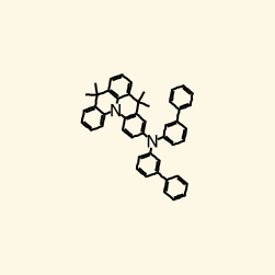 CC1(C)c2ccccc2N2c3ccc(N(c4cccc(-c5ccccc5)c4)c4cccc(-c5ccccc5)c4)cc3C(C)(C)c3cccc1c32